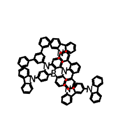 c1ccc(-c2cc(-c3ccccc3)cc(N3c4cc(-n5c6ccccc6c6ccccc65)ccc4B4c5ccc(-n6c7ccccc7c7cc(-n8c9ccccc9c9ccccc98)ccc76)cc5N(c5c(-c6ccccc6)cccc5-c5ccccc5)c5cc(-n6c7ccccc7c7ccccc76)cc3c54)c2)cc1